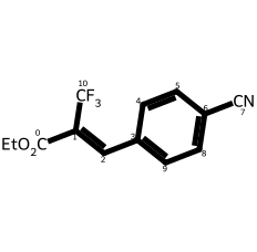 CCOC(=O)C(=Cc1ccc(C#N)cc1)C(F)(F)F